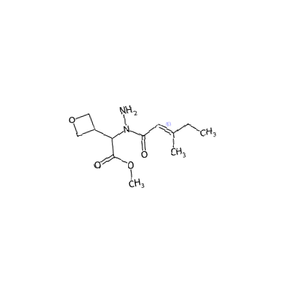 CC/C(C)=C/C(=O)N(N)C(C(=O)OC)C1COC1